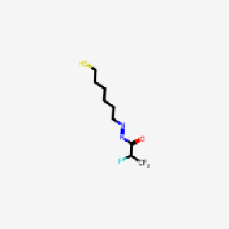 O=C(N=NCCCCCCS)C(F)C(F)(F)F